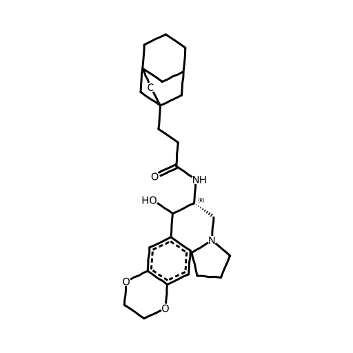 O=C(CCC12CC3CCCC(C3)(C1)C2)N[C@H](CN1CCCC1)C(O)c1ccc2c(c1)OCCO2